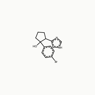 OC1(c2ccc(Br)cc2)CCCC1c1nc[nH]n1